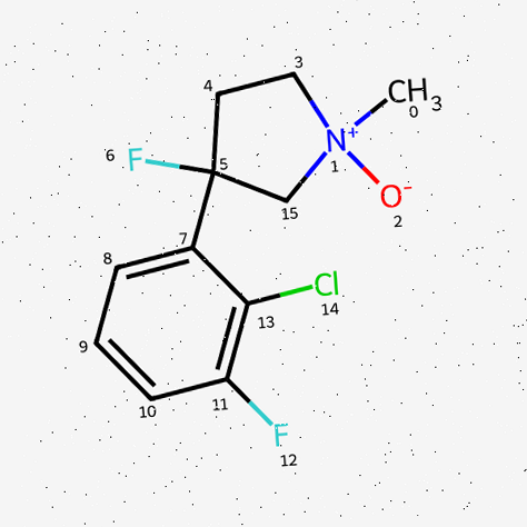 C[N+]1([O-])CCC(F)(c2cccc(F)c2Cl)C1